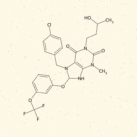 CC(O)CCn1c(=O)c2c(n(C)c1=O)NC(Oc1cccc(OC(F)(F)F)c1)N2Cc1ccc(Cl)cc1